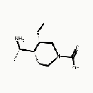 CC[C@@H]1CN(C(=O)O)CC[C@@H]1[C@H](C)N